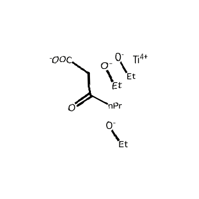 CCCC(=O)CC(=O)[O-].CC[O-].CC[O-].CC[O-].[Ti+4]